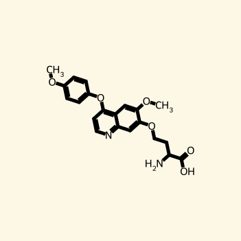 COc1ccc(Oc2ccnc3cc(OCCC(N)C(=O)O)c(OC)cc23)cc1